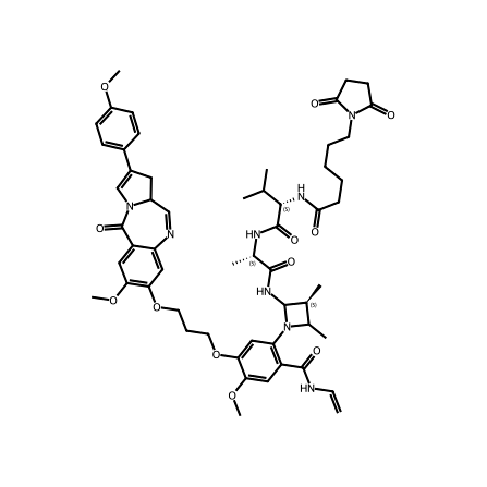 C=CNC(=O)c1cc(OC)c(OCCCOc2cc3c(cc2OC)C(=O)N2C=C(c4ccc(OC)cc4)CC2C=N3)cc1N1C(C)[C@H](C)C1NC(=O)[C@H](C)NC(=O)[C@@H](NC(=O)CCCCCN1C(=O)CCC1=O)C(C)C